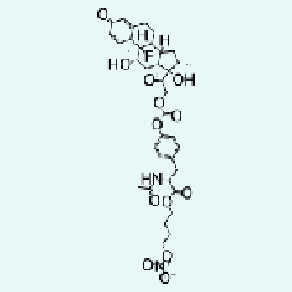 CC(=O)N[C@@H](Cc1ccc(OC(=O)OCC(=O)[C@@]2(O)[C@@H](C)C[C@H]3[C@@H]4CCC5=CC(=O)C=C[C@]5(C)[C@@]4(F)[C@@H](O)C[C@@]32C)cc1)C(=O)OCCCCO[N+](=O)[O-]